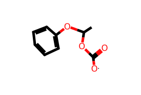 CC(OC([O])=O)Oc1ccccc1